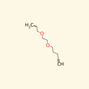 C#CCCCOCCOCC=C